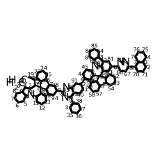 C=c1c2n(c3ccccc13)-c1ccccc1C1(C=2/C=C\C)c2ccccc2-c2cc(-c3nc(-c4ccccc4)c4ccc(-c5ccc6c(c5)C5(c7ccccc7-c7ccccc75)c5cc(-c7ccc(-c8cccc9ccccc89)nn7)cc7c8ccccc8n-6c57)cc4n3)ccc21